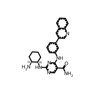 NC(=O)c1cnc(N[C@@H]2CCCC[C@@H]2N)nc1Nc1cccc(-c2cnc3ccccc3c2)c1